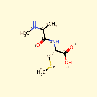 CNC(C)C(=O)N[C@@H](CSC)C(=O)O